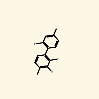 Cc1ccc(-c2ccc(C)c(F)c2F)c(F)c1